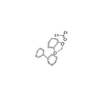 CCC(=O)CC.c1ccc(-c2ccccc2)cc1.c1ccc2c(c1)OCO2